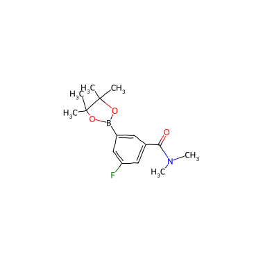 CN(C)C(=O)c1cc(F)cc(B2OC(C)(C)C(C)(C)O2)c1